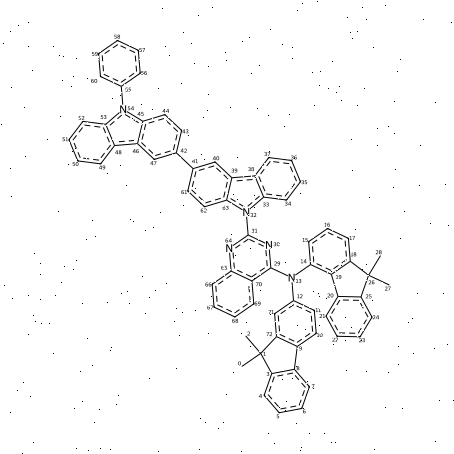 CC1(C)c2ccccc2-c2ccc(N(c3cccc4c3-c3ccccc3C4(C)C)c3nc(-n4c5ccccc5c5cc(-c6ccc7c(c6)c6ccccc6n7-c6ccccc6)ccc54)nc4ccccc34)cc21